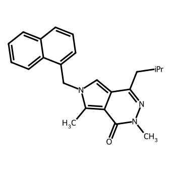 Cc1c2c(=O)n(C)nc(CC(C)C)c2cn1Cc1cccc2ccccc12